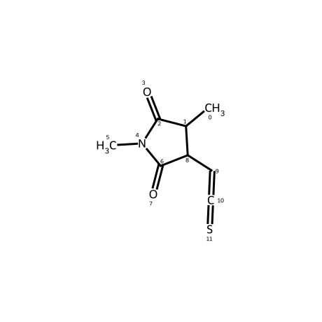 CC1C(=O)N(C)C(=O)C1C=C=S